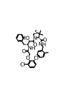 Cc1ccccc1CNC(=O)[C@H]1N(C(=O)[C@@H](O)[C@H](Cc2ccccc2)NC(=O)COc2c(Cl)cccc2Cl)CSC1(C)C